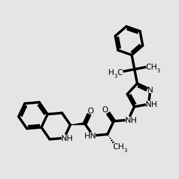 C[C@H](NC(=O)[C@@H]1Cc2ccccc2CN1)C(=O)Nc1cc(C(C)(C)c2ccccc2)n[nH]1